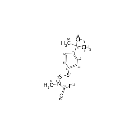 CN(SSc1ccc(C(C)(C)C)cc1)C(=O)F